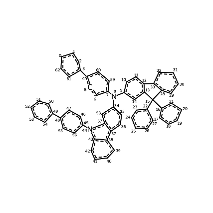 c1ccc(-c2ccc(N(c3ccc4c(c3)C(c3ccccc3)(c3ccccc3)c3ccccc3-4)c3ccc4c5ccccc5n(-c5ccc(-c6ccccc6)cc5)c4c3)cc2)cc1